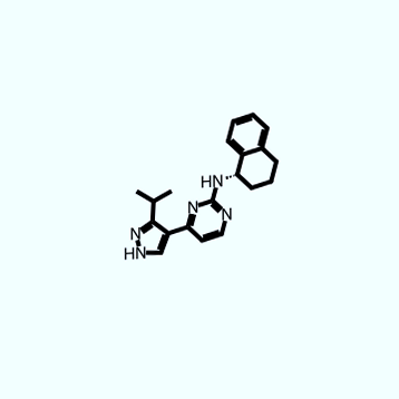 CC(C)c1n[nH]cc1-c1ccnc(N[C@H]2CCCc3ccccc32)n1